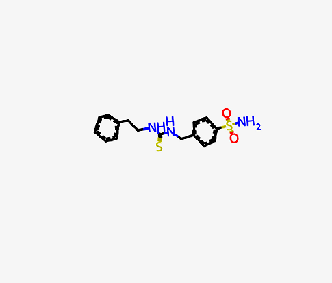 NS(=O)(=O)c1ccc(CNC(=S)NCCc2ccccc2)cc1